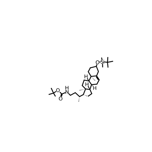 C[C@H](CCNC(=O)OC(C)(C)C)[C@H]1CC[C@H]2[C@@H]3CC=C4CC(O[Si](C)(C)C(C)(C)C)CC[C@]4(C)[C@H]3CC[C@]12C